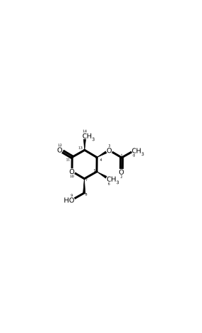 CC(=O)O[C@H]1[C@@H](C)[C@@H](CO)OC(=O)[C@H]1C